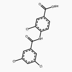 COC(=O)c1ccc(NC(=O)c2cc(Cl)cc(Cl)c2)c(Cl)c1